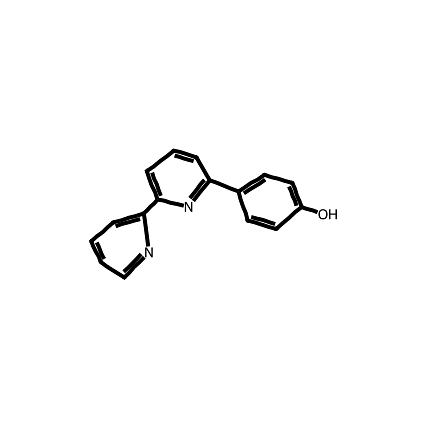 Oc1ccc(-c2cccc(-c3ccccn3)n2)cc1